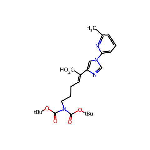 Cc1cccc(-n2cnc(C(=CCCCN(C(=O)OC(C)(C)C)C(=O)OC(C)(C)C)C(=O)O)c2)n1